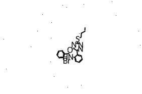 CCCCSc1nnc2c(n1)OC(c1ccccc1Br)Nc1ccccc1-2